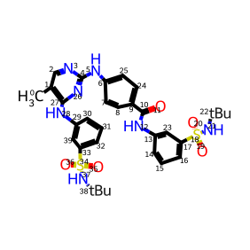 Cc1cnc(Nc2ccc(C(=O)Nc3cccc(S(=O)(=O)NC(C)(C)C)c3)cc2)nc1Nc1cccc(S(=O)(=O)NC(C)(C)C)c1